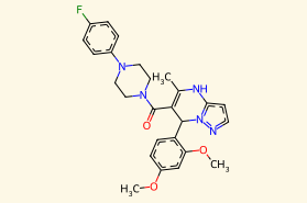 COc1ccc(C2C(C(=O)N3CCN(c4ccc(F)cc4)CC3)=C(C)Nc3ccnn32)c(OC)c1